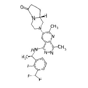 Cc1nc2c(C)nnc(N[C@H](C)c3cccc(C(F)F)c3F)c2cc1N1CCN2C(=O)CC[C@@H]2C1